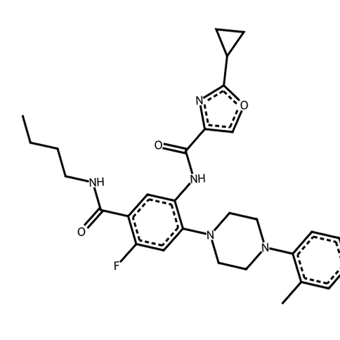 CCCCNC(=O)c1cc(NC(=O)c2coc(C3CC3)n2)c(N2CCN(c3ccccc3C)CC2)cc1F